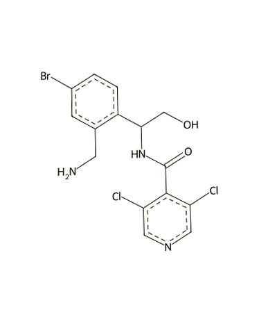 NCc1cc(Br)ccc1C(CO)NC(=O)c1c(Cl)cncc1Cl